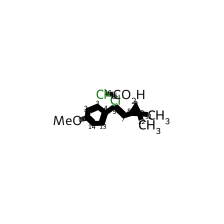 COc1ccc(C(Cl)=CC2CC2(C)C)cc1.O=C(O)Cl